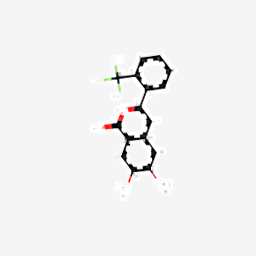 O=c1oc(-c2ccccc2C(F)(F)F)cc2cc(O)c(O)cc12